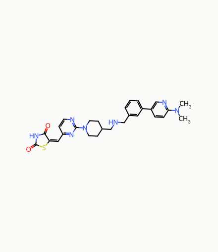 CN(C)c1ccc(-c2cccc(CNCC3CCN(c4nccc(C=C5SC(=O)NC5=O)n4)CC3)c2)cn1